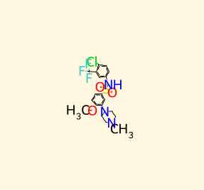 COc1ccc(S(=O)(=O)Nc2ccc(Cl)c(C(F)(F)F)c2)cc1N1CCN(C)CC1